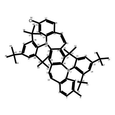 Cc1ccc2c(c1)B(c1c(C(C)(C)C)cc(C(C)(C)C)cc1C(C)(C)C)c1cc3c(cc1C=C2)B(c1c(C(C)(C)C)cc(C(C)(C)C)cc1C(C)(C)C)c1cc(Cl)ccc1C=C3